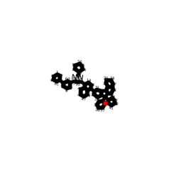 c1ccc(-c2cccc(-c3cc(-c4ccc(-c5ccc6c(c5)-c5c(ccc7ccccc57)C6(c5ccccc5)c5ccccc5)c5ccccc45)nc(-c4ccccc4)n3)c2)cc1